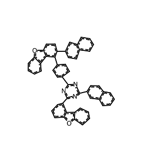 c1ccc2cc(-c3nc(-c4ccc(-c5c(-c6ccc7ccccc7c6)ccc6oc7ccccc7c56)cc4)nc(-c4cccc5oc6ccccc6c45)n3)ccc2c1